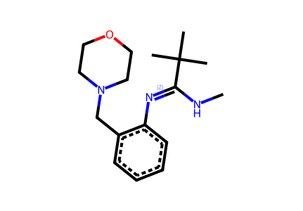 CN/C(=N\c1ccccc1CN1CCOCC1)C(C)(C)C